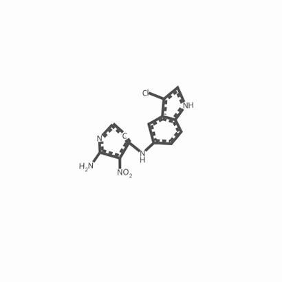 Nc1nccc(Nc2ccc3[nH]cc(Cl)c3c2)c1[N+](=O)[O-]